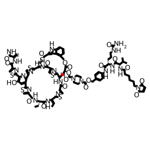 C=C(NC(=O)c1csc(-c2nc3c(cc2O)-c2nc(cs2)C(=O)N[C@@H](CC)C(=O)N/C(=C\C)c2nc(cs2)C(=O)N[C@H]2C[C@H](OC(=O)N4CCN(C(=O)OCc5ccc(NC(=O)[C@H](CCCNC(N)=O)NC(=O)[C@@H](NC(=O)CCCCCN6C(=O)C=CC6=O)C(C)C)cc5)CC4)C(=O)OCc4cccc5[nH]c(c(C)c45)C(=O)SC[C@H](NC(=O)c4csc2n4)c2nc-3cs2)n1)C(N)=O